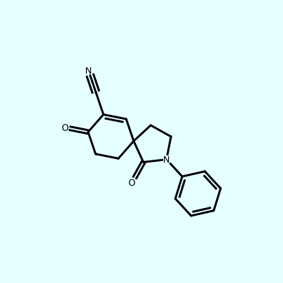 N#CC1=CC2(CCC1=O)CCN(c1ccccc1)C2=O